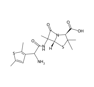 Cc1cc(C(N)C(=O)NC2(C)C(=O)N3[C@@H](C(=O)O)C(C)(C)S[C@@H]32)c(C)s1